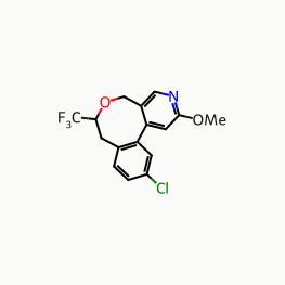 COc1cc2c(cn1)COC(C(F)(F)F)Cc1ccc(Cl)cc1-2